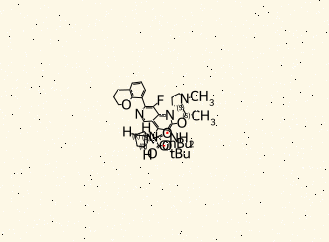 CCCCOC(=O)N1C[C@H]2C[C@@H]1[C@H]2N(C(=O)OC(C)(C)C)c1c(N)c(O[C@@H](C)[C@@H]2CCCN2C)nc2c(F)c(-c3cccc4c3OCCC4)ncc12